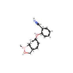 CB1OCc2ccc(Oc3ccccc3C#N)cc21